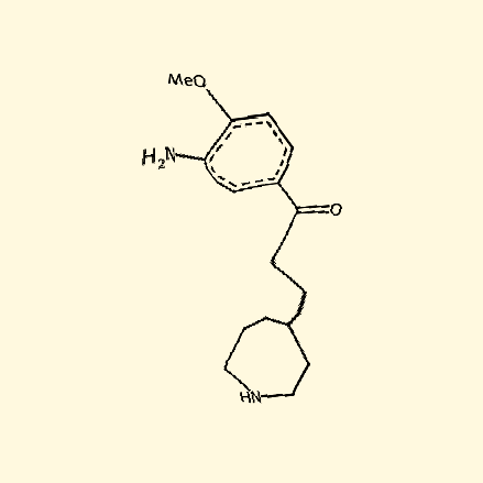 COc1ccc(C(=O)CCC2CCNCC2)cc1N